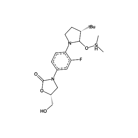 C[SiH](C)OC1[C@@H](C(C)(C)C)CCN1c1ccc(N2C[C@H](CO)OC2=O)cc1F